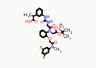 CC(C(=O)O)c1cccc(NC(=O)NCC(=O)N(CC(=O)OC(C)(C)C)c2ccccc2OCC(=O)N(C)c2cc(F)cc(F)c2)c1